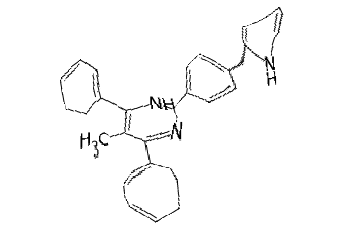 CC1=C(C2=CC=CCC2)NC(c2ccc(-c3ccc[nH]3)cc2)N=C1C1=CC=CCC1